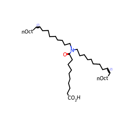 CCCCCCCC/C=C\CCCCCCCCN(CCCCCCCC/C=C\CCCCCCCC)C(=O)CCCCCCCCC(=O)O